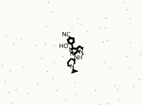 Cn1ccc2c(-c3ccc(C#N)cc3O)nnc(N[C@@H]3CCCN(C4CC4)C3)c21